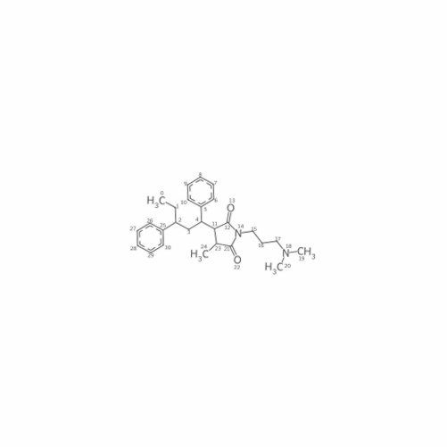 CCC(CC(c1ccccc1)C1C(=O)N(CCCN(C)C)C(=O)C1C)c1ccccc1